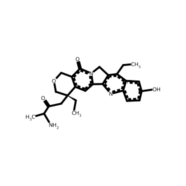 CCc1c2c(nc3ccc(O)cc13)-c1cc3c(c(=O)n1C2)COC[C@@]3(CC)CC(=O)C(C)N